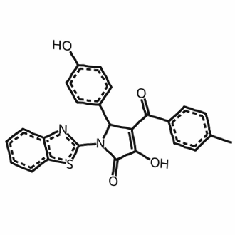 Cc1ccc(C(=O)C2=C(O)C(=O)N(c3nc4ccccc4s3)C2c2ccc(O)cc2)cc1